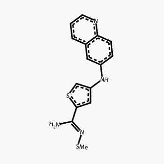 CSN=C(N)c1cc(Nc2ccc3ncccc3c2)cs1